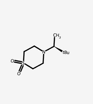 C[C@H](N1CCS(=O)(=O)CC1)C(C)(C)C